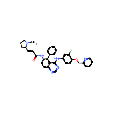 CN1CCCC1C=CC(=O)Nc1ccc2ncnc(Nc3ccc(OCc4ccccn4)c(Cl)c3)c2c1-c1ccccc1